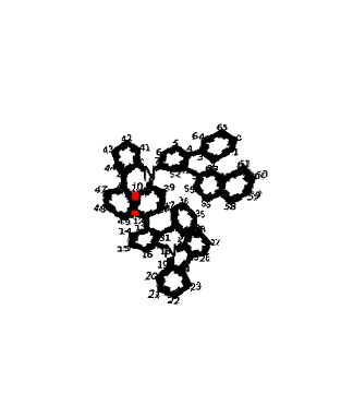 c1ccc(-c2ccc(N(c3ccc(-c4cccc(-n5c6ccccc6c6ccccc65)c4-c4ccccc4)cc3)c3ccccc3-c3ccccc3)cc2-c2ccc3ccccc3c2)cc1